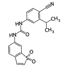 CC(C)c1cc(NC(=O)Nc2ccc3c(c2)S(=O)(=O)C=C3)ccc1C#N